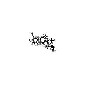 CC1(C)CC[C@]2(C(=O)NCC(F)(F)F)CC[C@]3(C)[C@H](C4COC4C=C4[C@@]5(C)C=C(C#N)C(=O)C(C)(C)C5CC[C@]43C)[C@H]2C1